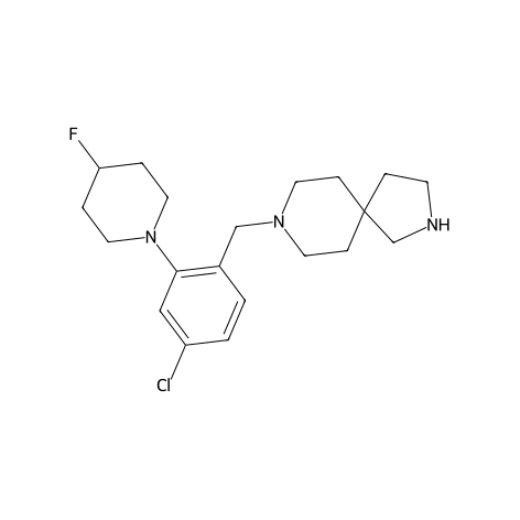 FC1CCN(c2cc(Cl)ccc2CN2CCC3(CCNC3)CC2)CC1